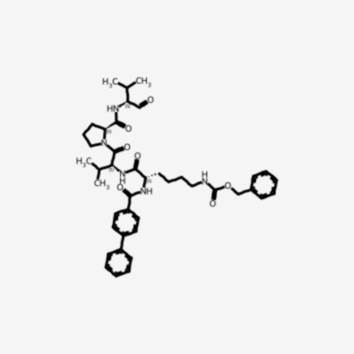 CC(C)[C@H](NC(=O)[C@H](CCCCNC(=O)OCc1ccccc1)NC(=O)c1ccc(-c2ccccc2)cc1)C(=O)N1CCC[C@H]1C(=O)N[C@H](C=O)C(C)C